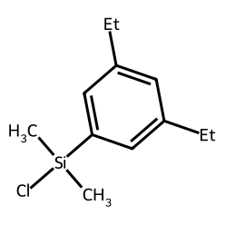 CCc1cc(CC)cc([Si](C)(C)Cl)c1